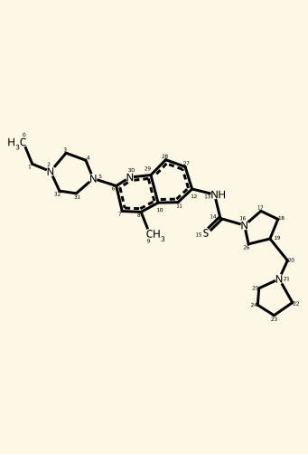 CCN1CCN(c2cc(C)c3cc(NC(=S)N4CCC(CN5CCCC5)C4)ccc3n2)CC1